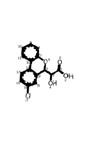 O=C(O)C(O)C1Oc2ccccc2-c2ccc(Cl)cc21